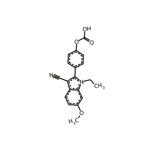 CCn1c(-c2ccc(OC(=O)O)cc2)c(C#N)c2ccc(OC)cc21